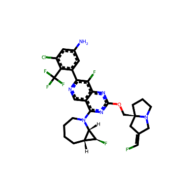 Nc1cc(Cl)c(C(F)(F)F)c(-c2ncc3c(N4CCCC[C@H]5[C@H](F)[C@H]54)nc(OC[C@@]45CCCN4C/C(=C/F)C5)nc3c2F)c1